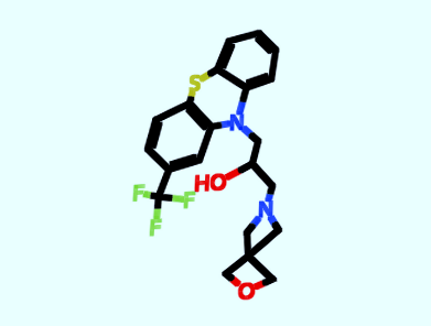 OC(CN1CC2(COC2)C1)CN1c2ccccc2Sc2ccc(C(F)(F)F)cc21